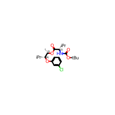 CC(C)[C@H](NC(=O)OC(C)(C)C)C(=O)O[C@@H](C)[C@H](Oc1cccc(Cl)c1)C(C)C